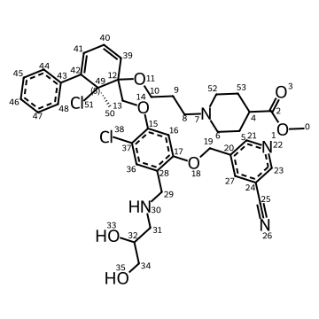 COC(=O)C1CCN(CCCOC2(COc3cc(OCc4cncc(C#N)c4)c(CNCC(O)CO)cc3Cl)C=CC=C(c3ccccc3)[C@]2(C)Cl)CC1